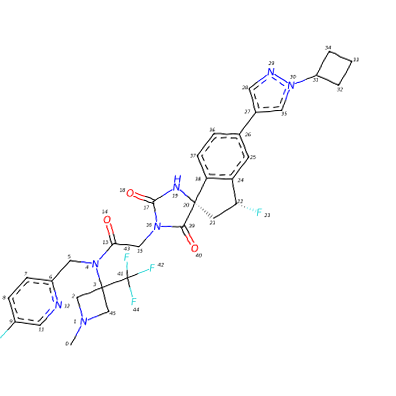 CN1CC(N(Cc2ccc(F)cn2)C(=O)CN2C(=O)N[C@]3(C[C@@H](F)c4cc(-c5cnn(C6CCC6)c5)ccc43)C2=O)(C(F)(F)F)C1